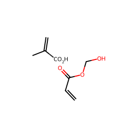 C=C(C)C(=O)O.C=CC(=O)OCO